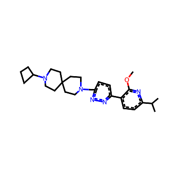 COc1nc(C(C)C)ccc1-c1ccc(N2CCC3(CC2)CCN(C2CCC2)CC3)nn1